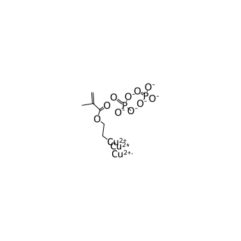 C=C(C)C(=O)OC[CH2][Cu+2].O=P([O-])([O-])[O-].O=P([O-])([O-])[O-].[Cu+2].[Cu+2]